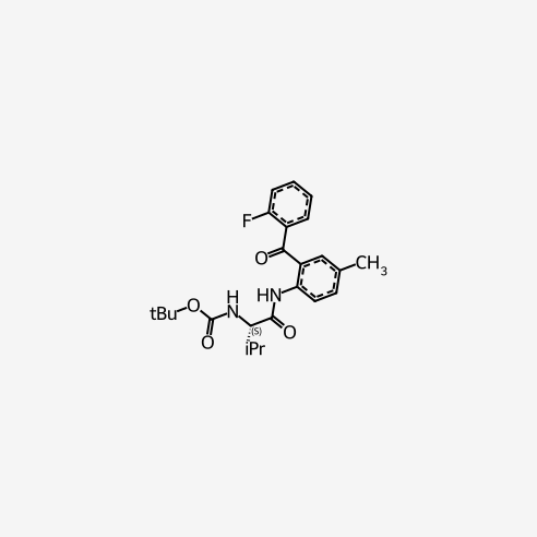 Cc1ccc(NC(=O)[C@@H](NC(=O)OC(C)(C)C)C(C)C)c(C(=O)c2ccccc2F)c1